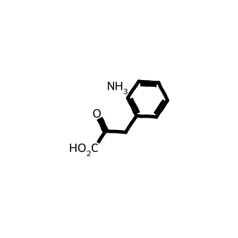 N.O=C(O)C(=O)Cc1ccccc1